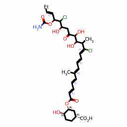 CC/C=C/C(OC(N)=O)C(Cl)C(O)CC(=O)C(O)C(O)C(C)/C(Cl)=C/C=C/C=C(C)/C=C/C=C/C(=O)O[C@@H]1C[C@H](C(=O)O)CC[C@H]1O